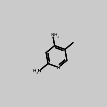 Cc1cnc(N)cc1N